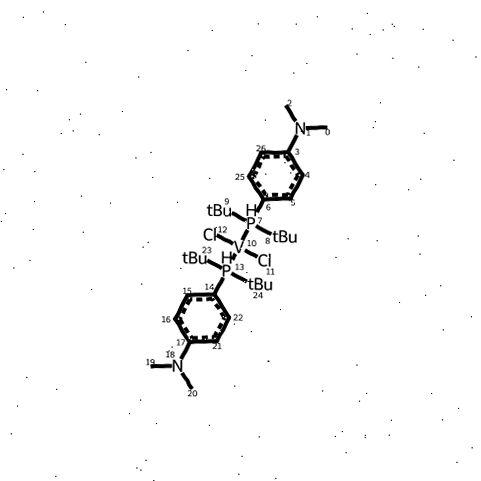 CN(C)c1ccc([PH](C(C)(C)C)(C(C)(C)C)[V]([Cl])([Cl])[PH](c2ccc(N(C)C)cc2)(C(C)(C)C)C(C)(C)C)cc1